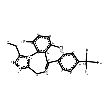 CCc1nnc2n1-c1c(F)ccc(Cl)c1C(c1ccc(C(F)(F)F)cc1)=NC2